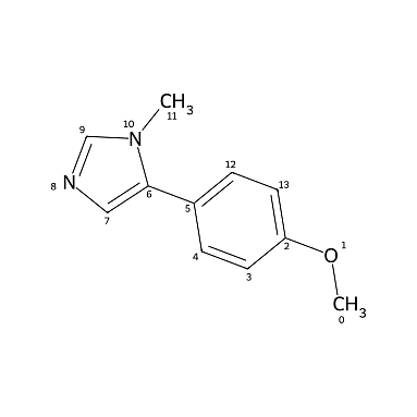 COc1ccc(-c2cncn2C)cc1